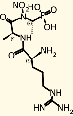 C[C@H](NC(=O)[C@@H](N)CCCNC(=N)N)C(=O)N([C@@H](C)P(=O)(O)O)[N+](=O)[O-]